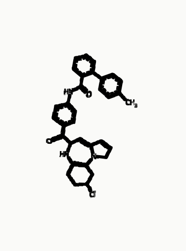 Cc1ccc(-c2ccccc2C(=O)Nc2ccc(C(=O)C3C=C4C=CCN4C4=C(CCC(Cl)C4)N3)cc2)cc1